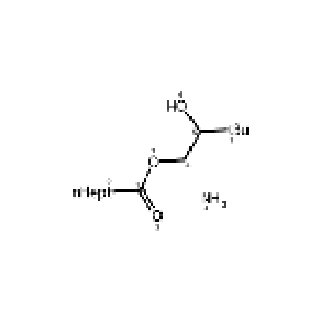 CCCCCCCC(=O)OCC(O)C(C)(C)C.N